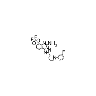 Nc1nc2c3c(ccc2c2nc(C4CCCN(c5cccc(F)c5)C4)nn12)OC(F)(F)O3